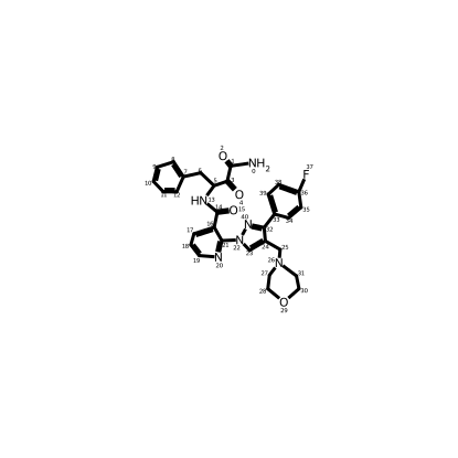 NC(=O)C(=O)C(Cc1ccccc1)NC(=O)c1cccnc1-n1cc(CN2CCOCC2)c(-c2ccc(F)cc2)n1